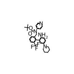 CC(C)(C)OC(=O)N(Cc1cccc(C(F)(F)F)c1-c1cc(N2CCCCC2)ccc1N)c1ccncc1